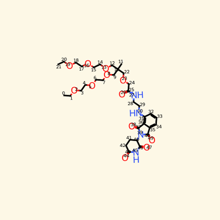 CCOCCOCCOCC(C)(COCCOCCOCC)COCC(=O)NCCNc1cccc2c1C(=O)N(C1CCC(=O)NC1=O)C2=O